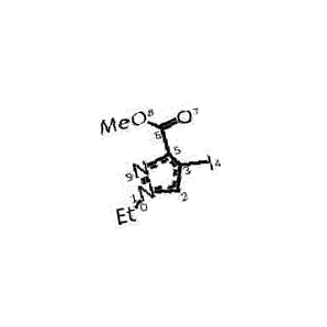 CCn1cc(I)c(C(=O)OC)n1